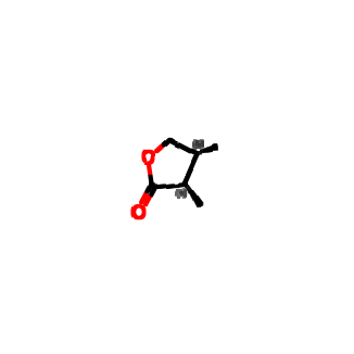 C[C@@H]1COC(=O)[C@@H]1C